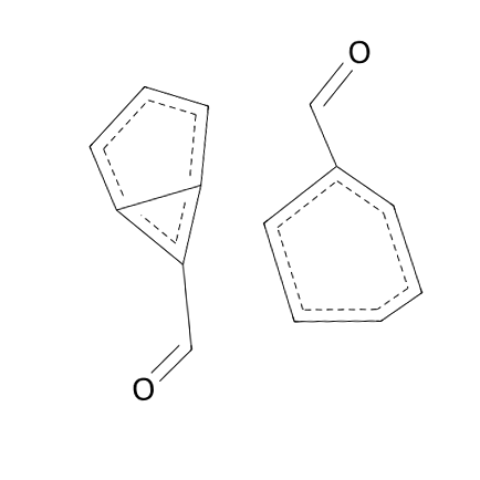 O=Cc1c2cccc1-2.O=Cc1ccccc1